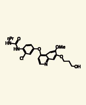 CCCNC(=O)Nc1ccc(Oc2ccnc3cc(OCCCO)c(OC)cc23)cc1Cl